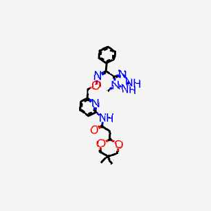 CN1NNN=C1/C(=N\OCc1cccc(NC(=O)CC2OCC(C)(C)CO2)n1)c1ccccc1